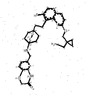 NCC1(COc2ccc3ncc(F)c(CCC45CCC(NCc6ccc7c(n6)NC(=O)CO7)(CC4)CO5)c3n2)CC1